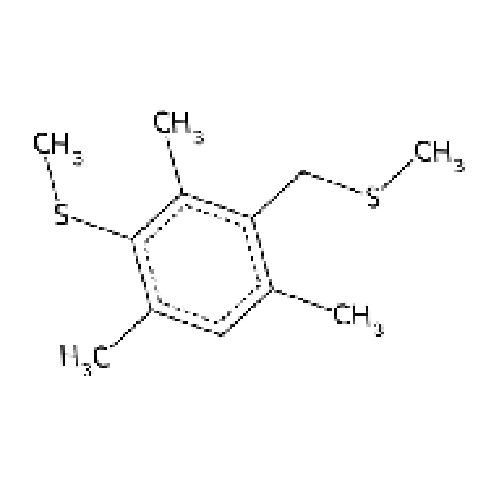 CSCc1c(C)cc(C)c(SC)c1C